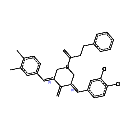 C=C1/C(=C/c2ccc(C)c(C)c2)CN(C(=C)CCc2ccccc2)C/C1=C\c1ccc(Cl)c(Cl)c1